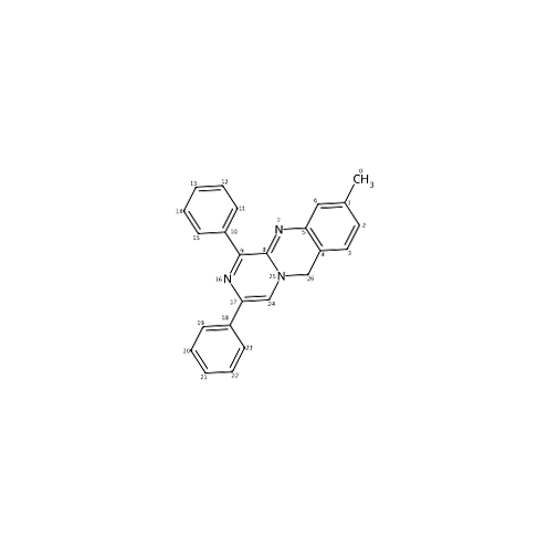 Cc1ccc2c(c1)N=C1C(c3ccccc3)=NC(c3ccccc3)=CN1C2